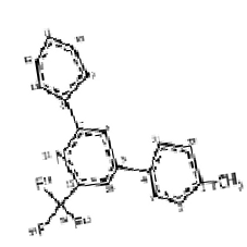 Cc1ccc(-c2cc(-c3ccccc3)nc(C(F)(F)F)c2)cc1